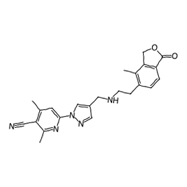 Cc1cc(-n2cc(CNCCc3ccc4c(c3C)COC4=O)cn2)nc(C)c1C#N